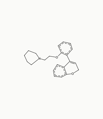 C1=C(c2ccccc2OCCN2CCCCC2)c2ccccc2OC1